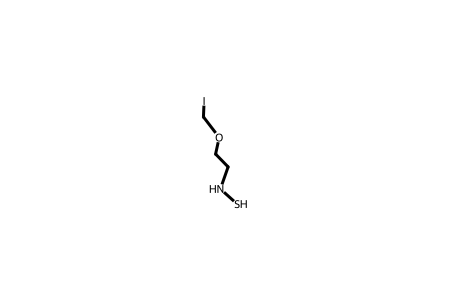 SNCCOCI